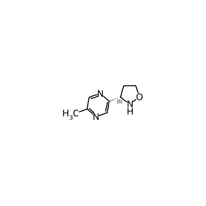 Cc1cnc([C@@H]2CCON2)cn1